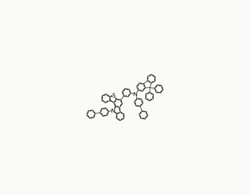 c1ccc(-c2ccc(N(c3cccc(-c4cc5c6ccccc6n(-c6ccc(-c7ccccc7)cc6)c5c5c4sc4ccccc45)c3)c3ccc4c(c3)C(c3ccccc3)(c3ccccc3)c3ccccc3-4)cc2)cc1